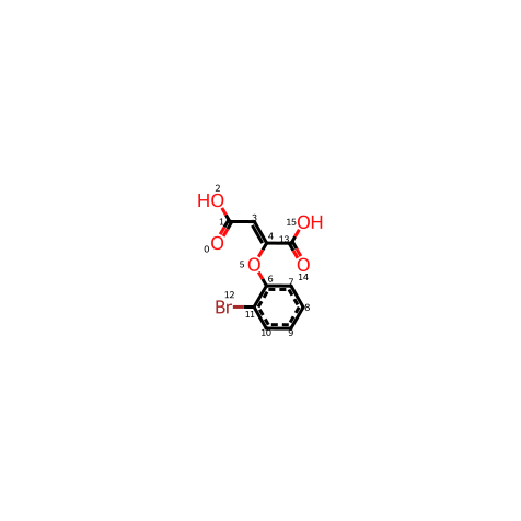 O=C(O)/C=C(\Oc1ccccc1Br)C(=O)O